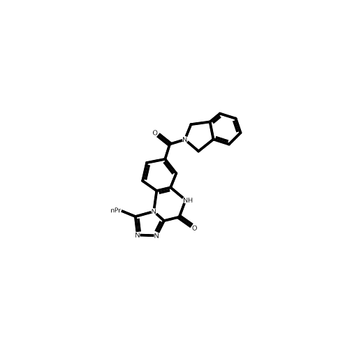 CCCc1nnc2c(=O)[nH]c3cc(C(=O)N4Cc5ccccc5C4)ccc3n12